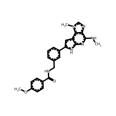 CNc1nc2[nH]c(-c3cccc(CNC(=O)c4ccc(OC)cc4)c3)cc2c2c1ncn2C